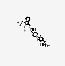 Cc1c(CCNCC2CCN(c3ncc(C(=O)NO)cn3)CC2)c2ccccc2n1C